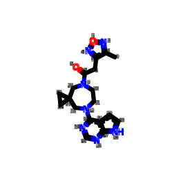 Cc1nonc1CC(=O)N1CCN(c2ncnc3[nH]ccc23)CC2(CC2)C1